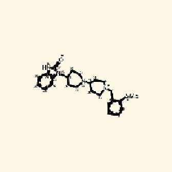 CSc1ccccc1CN1CCC(N2CCC(n3c(=O)[nH]c4ccccc43)CC2)CC1